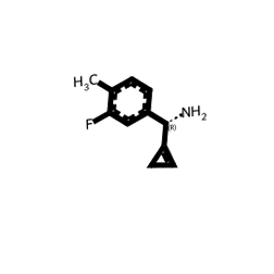 Cc1ccc([C@H](N)C2=CC2)cc1F